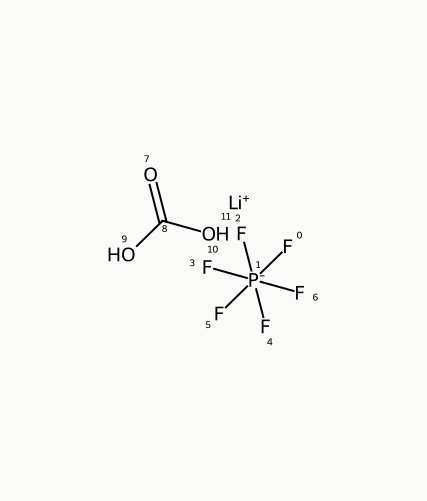 F[P-](F)(F)(F)(F)F.O=C(O)O.[Li+]